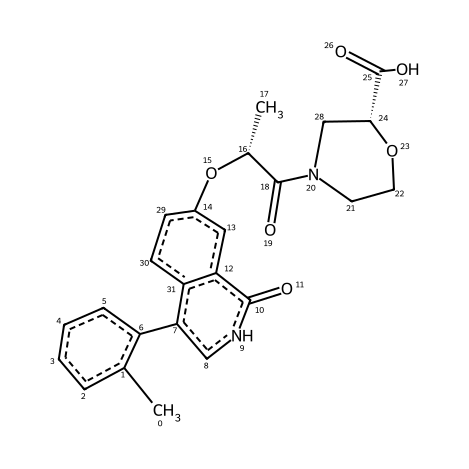 Cc1ccccc1-c1c[nH]c(=O)c2cc(O[C@H](C)C(=O)N3CCO[C@@H](C(=O)O)C3)ccc12